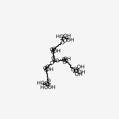 CC1[C@H](OCCCCCCOP(=O)(O)OCCCOCC(C)(COCCCOP(=O)(O)OCCCCCCO[C@@H]2OC(CO)[C@H](O)[C@H](O)C2C)COCCCOP(=O)(O)OCCCCCCO[C@@H]2OC(CO)[C@H](O)[C@H](O)C2C)OC(CO)[C@H](O)[C@@H]1O